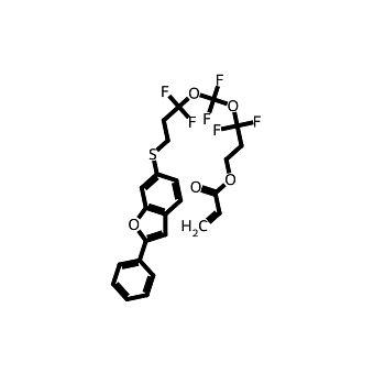 C=CC(=O)OCCC(F)(F)OC(F)(F)OC(F)(F)CCSc1ccc2cc(-c3ccccc3)oc2c1